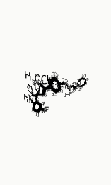 CC1(C)OC(=C2C(=O)Nc3ccc(F)cc32)C=C1c1ccc(CNCCN2CCCCC2)cc1